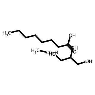 CC(=O)O.CCCCCCCC(=O)O.OCC(O)CO